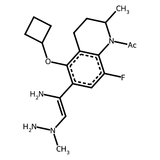 CC(=O)N1c2c(F)cc(/C(N)=C/N(C)N)c(OC3CCC3)c2CCC1C